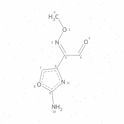 CON=C([C]=O)c1coc(N)n1